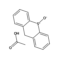 CC(=O)O.[O-][S+]1c2ccccc2Cc2ccccc21